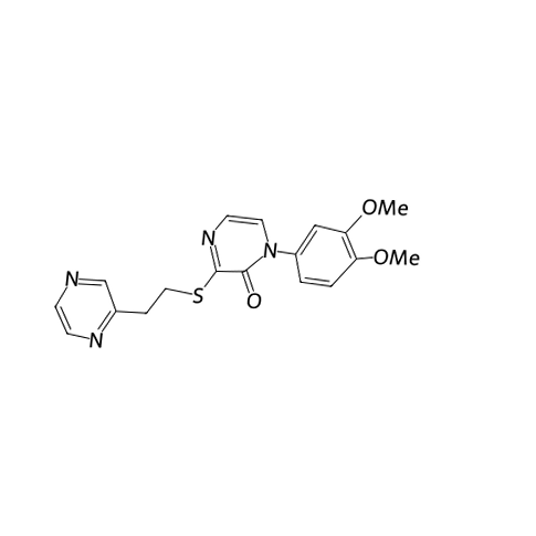 COc1ccc(-n2ccnc(SCCc3cnccn3)c2=O)cc1OC